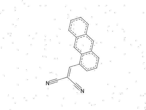 N#CC(C#N)=Cc1cccc2cc3ccccc3cc12